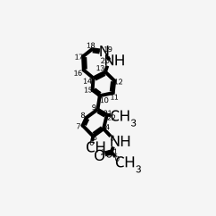 CC(=O)Nc1c(C)ccc(-c2ccc3c(c2)C=CC=NN3)c1C